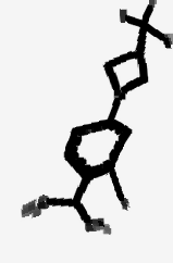 CC(C)c1ccc(N2CC(C(F)(F)F)C2)cc1F